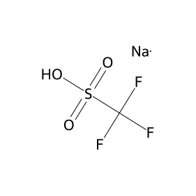 O=S(=O)(O)C(F)(F)F.[Na]